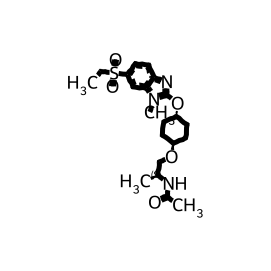 CCS(=O)(=O)c1ccc2nc(O[C@H]3CC[C@H](OC[C@H](C)NC(C)=O)CC3)n(C)c2c1